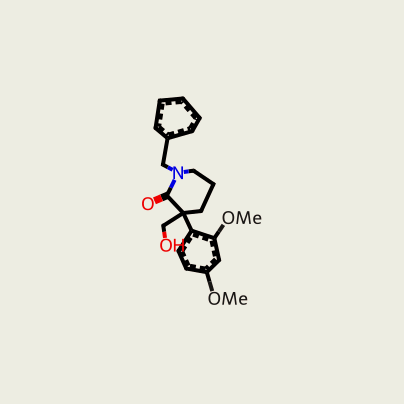 COc1ccc(C2(CO)CCCN(Cc3ccccc3)C2=O)c(OC)c1